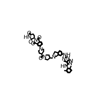 Cc1cccc(C)c1Nc1nn(C)c2nc(Nc3ccc4c(c3)CN(CC3CCN(C(=O)C5CCN(c6ccc7c(c6)C(=O)N(C6CCC(=O)NC6=O)C7=O)CC5)CC3)CC4)ncc12